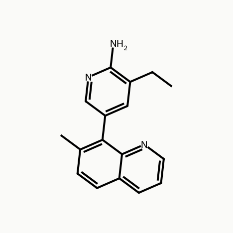 CCc1cc(-c2c(C)ccc3cccnc23)cnc1N